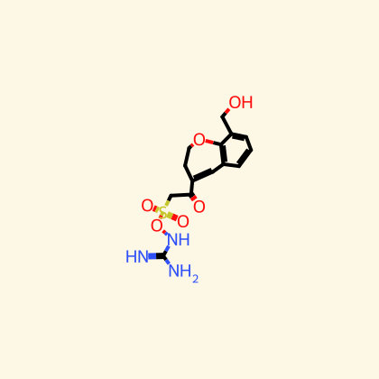 N=C(N)NOS(=O)(=O)CC(=O)C1=Cc2cccc(CO)c2OCC1